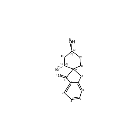 O=C1c2ccccc2CC12CC[C@H](O)C[C@H]2Br